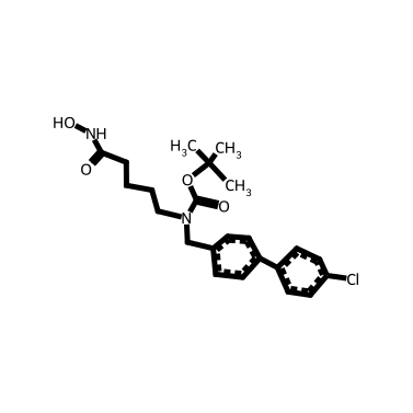 CC(C)(C)OC(=O)N(CCCCC(=O)NO)Cc1ccc(-c2ccc(Cl)cc2)cc1